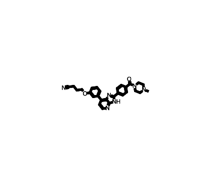 CN1CCN(C(=O)c2ccc(-c3nc4c(-c5cccc(OCCCC#N)c5)ccnc4[nH]3)cc2)CC1